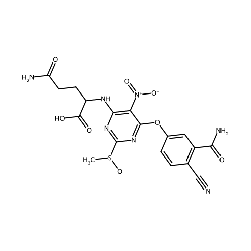 C[S+]([O-])c1nc(NC(CCC(N)=O)C(=O)O)c([N+](=O)[O-])c(Oc2ccc(C#N)c(C(N)=O)c2)n1